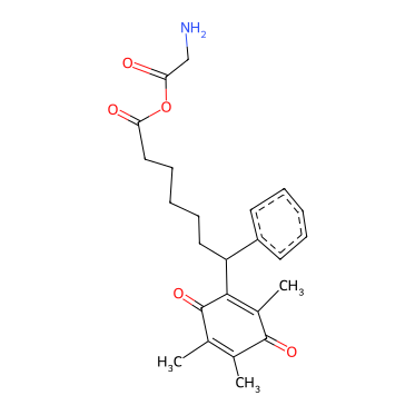 CC1=C(C)C(=O)C(C(CCCCCC(=O)OC(=O)CN)c2ccccc2)=C(C)C1=O